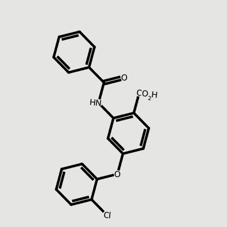 O=C(Nc1cc(Oc2ccccc2Cl)ccc1C(=O)O)c1ccccc1